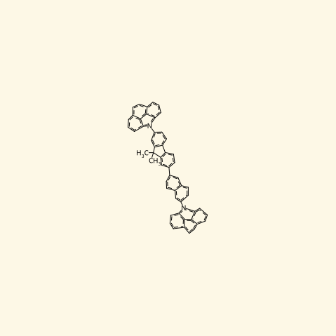 CC1(C)c2cc(-c3ccc4cc(-n5c6cccc7ccc8cccc5c8c76)ccc4c3)ccc2-c2ccc(-n3c4cccc5ccc6cccc3c6c54)cc21